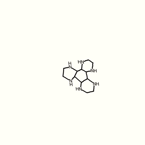 C1CNC2C(N1)C1NCCNC1C1NCCNC21